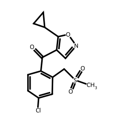 CS(=O)(=O)Cc1cc(Cl)ccc1C(=O)c1cnoc1C1CC1